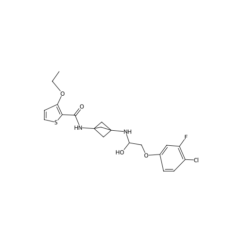 CCOc1ccsc1C(=O)NC12CC(NC(O)COc3ccc(Cl)c(F)c3)(C1)C2